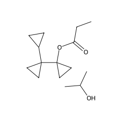 CC(C)O.CCC(=O)OC1(C2(C3CC3)CC2)CC1